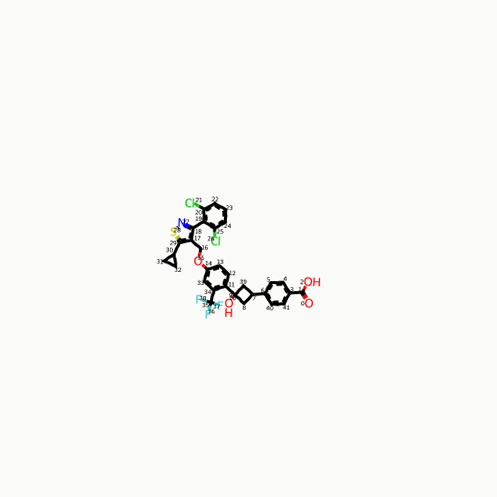 O=C(O)c1ccc(C2CC(O)(c3ccc(OCc4c(-c5c(Cl)cccc5Cl)nsc4C4CC4)cc3C(F)(F)F)C2)cc1